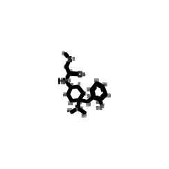 CSCC(=O)NC1CCC(Cc2ccccc2F)(N(C)C)CC1